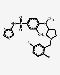 Cc1cc(S(=O)(=O)Nc2cscn2)ccc1N(C)C1CCN(Cc2cc(F)ccc2F)C1